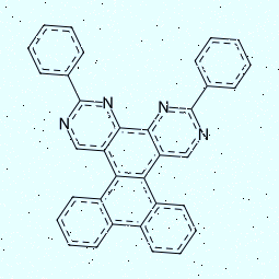 c1ccc(-c2ncc3c(n2)c2nc(-c4ccccc4)ncc2c2c4ccccc4c4ccccc4c32)cc1